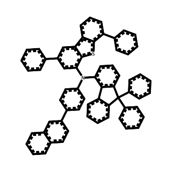 c1ccc(-c2cc(N(c3ccc(-c4ccc5ccccc5c4)cc3)c3cccc4c3-c3ccccc3C4(c3ccccc3)c3ccccc3)c3sc4c(-c5ccccc5)cccc4c3c2)cc1